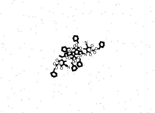 C=C(c1cc2sc3c(c2s1)C(C(=O)OCc1ccccc1)(C(=O)OCc1ccccc1)C1=C3C(C(=O)OCc2ccccc2)(C(=O)OCc2ccccc2)c2cc(/N=C3/C(=O)N(C(=O)OCc4ccccc4)C(=O)C(C#N)=C3C)sc21)[C@H]1C(=O)N(C(=O)OCc2ccccc2)C(=O)C(C#N)=C1C